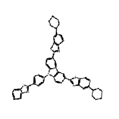 c1ccc2sc(-c3ccc(-n4c5ccc(-c6nc7cc(C8CCCCC8)ccc7s6)cc5c5cc(-c6nc7ccc(C8CCCCC8)cc7s6)ccc54)cc3)nc2c1